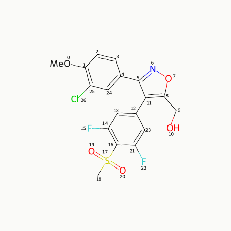 COc1ccc(-c2noc(CO)c2-c2cc(F)c(S(C)(=O)=O)c(F)c2)cc1Cl